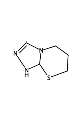 [C]1=NNC2SCCCN12